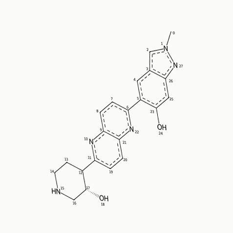 Cn1cc2cc(-c3ccc4nc(C5CCNC[C@H]5O)ccc4n3)c(O)cc2n1